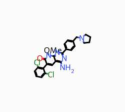 COn1c(=O)c(-c2c(Cl)cccc2Cl)cc2c(N)nc(-c3ccc(CN4CCCC4)cc3)nc21